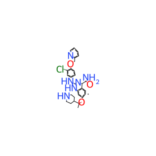 CC(Oc1[c]cc2c(c1)NC(Nc1ccc(OCc3ccccn3)c(Cl)c1)=NC2C(N)=O)C1CCNCC1